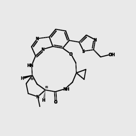 CN1CC[C@H]2C[C@H]1C(=O)NCC1(CC1)COc1c(-c3cnc(CO)s3)ccc3ncc(nc13)N2